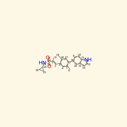 C/C(=C\c1cc(C)c(-c2ccc3[nH]ccc3c2)cc1C)S(=O)(=O)NC1CC1